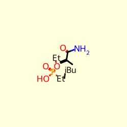 C=C(C)C(N)=O.CCC(C)C.CCOP(=O)(O)CC